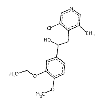 CCOc1cc(C(O)Cc2c(C)cncc2Cl)ccc1OC